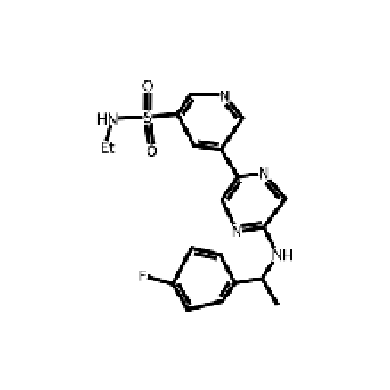 CCNS(=O)(=O)c1cncc(-c2cnc(NC(C)c3ccc(F)cc3)cn2)c1